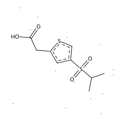 CC(C)S(=O)(=O)c1csc(CC(=O)O)c1